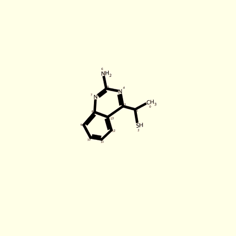 CC(S)c1nc(N)nc2ccccc12